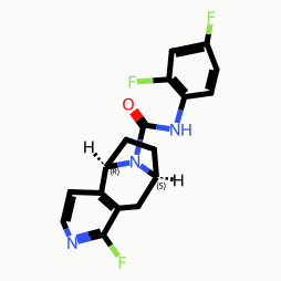 O=C(Nc1ccc(F)cc1F)N1[C@H]2CC[C@@H]1c1ccnc(F)c1C2